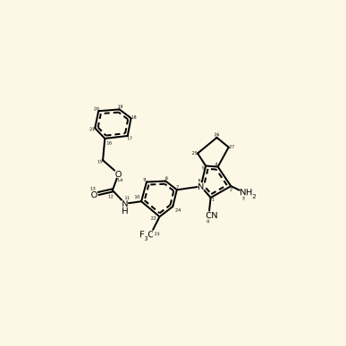 N#Cc1c(N)c2c(n1-c1ccc(NC(=O)OCc3ccccc3)c(C(F)(F)F)c1)CCC2